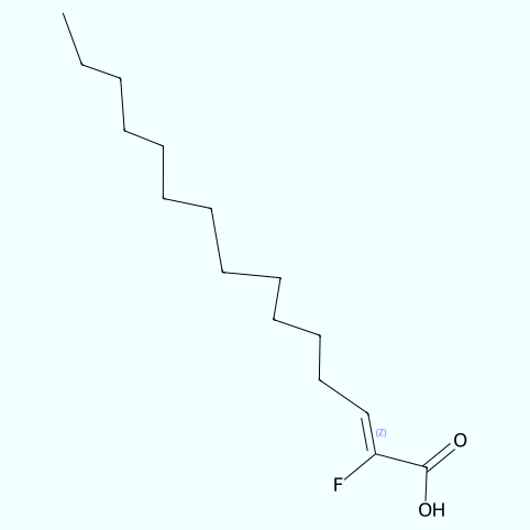 CCCCCCCCCCCC/C=C(\F)C(=O)O